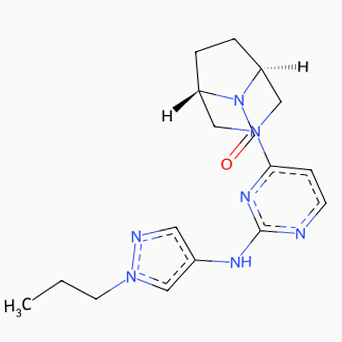 CCCn1cc(Nc2nccc(N3C[C@@H]4CC[C@@H](C3)N4C=O)n2)cn1